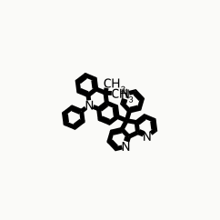 CC1(C)c2ccccc2N(c2ccccc2)c2ccc(C3(c4cccnc4)c4cccnc4-c4ncccc43)cc21